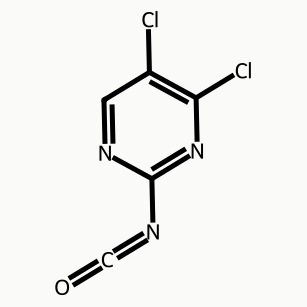 O=C=Nc1ncc(Cl)c(Cl)n1